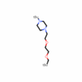 CC(C)(C)COCCOCCN1CCN(C(C)(C)C)CC1